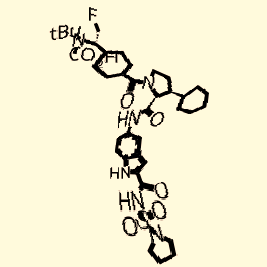 CC(C)(C)N(C(=O)O)[C@H](CF)C1CCC(C(=O)N2CC[C@@H](C3CCCCC3)[C@H]2C(=O)Nc2ccc3[nH]c(C(=O)NS(=O)(=O)N4CCCC4)cc3c2)CC1